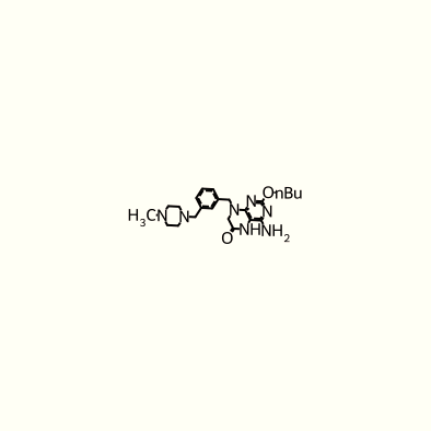 CCCCOc1nc(N)c2c(n1)N(Cc1cccc(CN3CCN(C)CC3)c1)CC(=O)N2